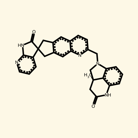 CC12CC(=O)Nc3cccc(c31)N(Cc1ccc3cc4c(cc3n1)CC1(C4)C(=O)Nc3ncccc31)C2